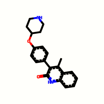 Cc1c(-c2ccc(OC3CCNCC3)cc2)c(=O)[nH]c2ccccc12